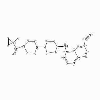 CC1(C(=O)N2CCN([C@H]3CC[C@H](Nc4ncnc5ccc(C#N)cc45)CC3)CC2)CC1